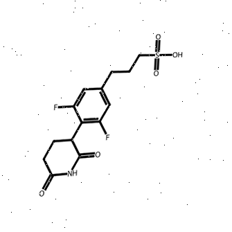 O=C1CCC(c2c(F)cc(CCCS(=O)(=O)O)cc2F)C(=O)N1